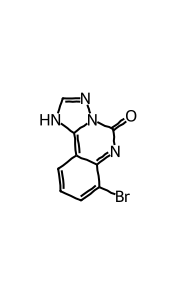 O=c1nc2c(Br)cccc2c2[nH]cnn12